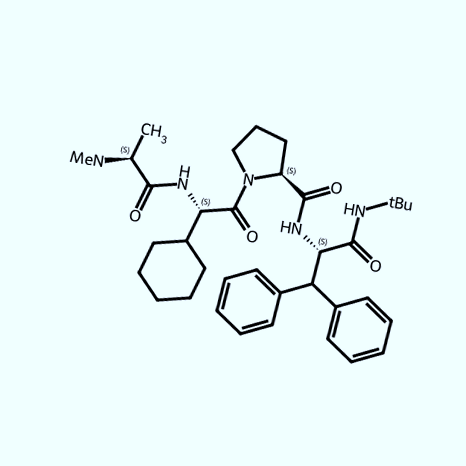 CN[C@@H](C)C(=O)N[C@H](C(=O)N1CCC[C@H]1C(=O)N[C@H](C(=O)NC(C)(C)C)C(c1ccccc1)c1ccccc1)C1CCCCC1